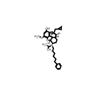 COc1cc(O)c2c3c1O[C@H]1[C@H](N(CCCCCCc4ccccc4)C(C)C)CC[C@H]4[C@@H](C2)N(CC2CC2)CC[C@@]341